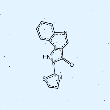 O=c1c2cnc3ccccc3c2[nH]n1-c1nccs1